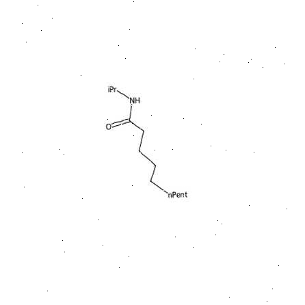 CCCCCCCCCC(=O)NC(C)C